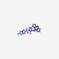 CN1CC2CN(S(=O)(=O)c3nnc(Nc4c5c(cc6c4CCC6)CCC5)[nH]3)CC2C1